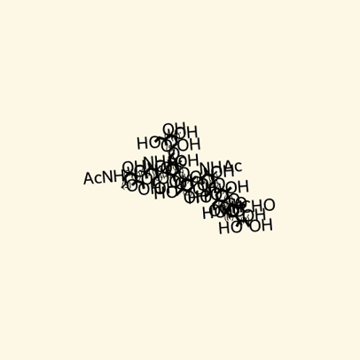 CC(=O)NC1[C@H](O[C@@H]2C(CO)O[C@@H](C)C(NC(C)=O)[C@H]2O)OC(CO)[C@@H](O[C@@H]2OC(CO[C@H]3OC(CO)[C@@H](O)[C@H](O)C3O)[C@@H](O)[C@H](O[C@H]3OC(CO)[C@@H](O)C(O)C3O[C@@H]3OC(CO)[C@@H](O[C@@H]4OC(CO)[C@H](O)[C@H](O[C@]5(OC=O)C[C@@H](O)[C@@H](C)C(C(O)[C@H](O)CO)O5)C4O)[C@H](O)C3NC(C)=O)C2O)[C@@H]1O